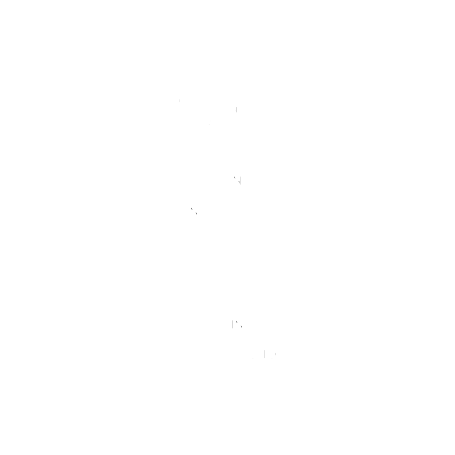 CCCC(=O)c1c[nH]c(CCCNC=O)n1